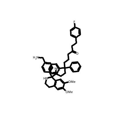 COc1cc2c(cc1OC)C(c1ccc(CN)cc1)(C(N)CCC(CCCC(=O)CCc1ccc(F)cc1)(c1ccccc1)c1ccccc1)NCC2